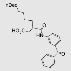 CCCCCCCCCCCCCCC(CC(=O)O)C(=O)Nc1cccc(C(=O)c2ccccc2)c1